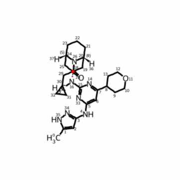 Cc1cc(Nc2cc(C3CCOCC3)nc(N(C)[C@H]3C[C@H]4CCC[C@@H](C3)N4C(=O)CC3CC3)n2)n[nH]1